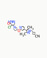 Cc1nn(CC2CC(C#N)C2)c(C)c1-c1ccnc(O[C@@H]2CCN(c3cn[nH]c(=O)c3Cl)C2)c1